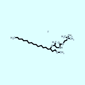 CCCCCCCCCCCCCCCC(CCOC)OC(C)CNC(=O)OCC[N+](C)(C)C.[I-]